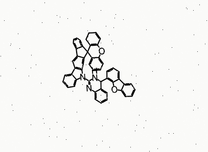 C1=CC2=C(CC1)C1(c3ccccc3O2)c2ccccc2-c2cc3c4ccccc4n(C4=Nc5ccccc5C(c5cccc6c5oc5ccccc56)N4)c3cc21